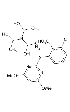 CC(O)N(C(C)O)C(C)O.COc1cc(OC)nc(Sc2cccc(Cl)c2C(=O)O)n1